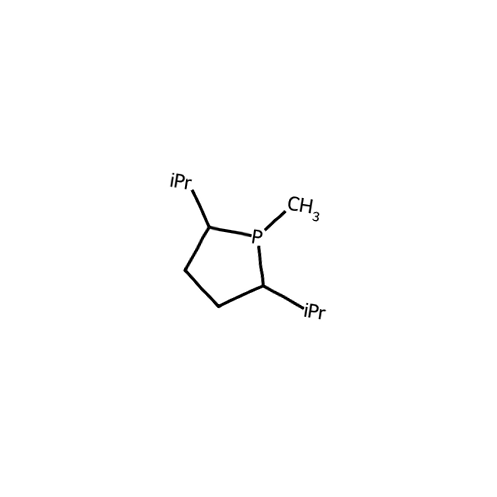 CC(C)C1CCC(C(C)C)P1C